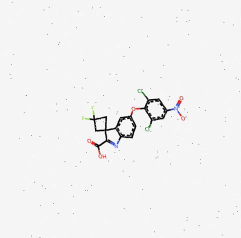 O=C(O)C1=Nc2ccc(Oc3c(Cl)cc([N+](=O)[O-])cc3Cl)cc2C12CC(F)(F)C2